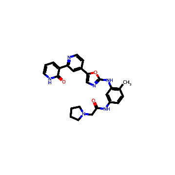 Cc1ccc(NC(=O)CN2CCCC2)cc1Nc1ncc(-c2ccnc(-c3ccc[nH]c3=O)c2)o1